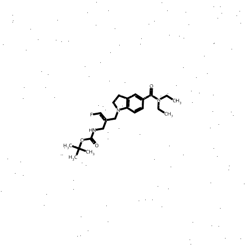 CCN(CC)C(=O)c1ccc2c(c1)CCN2CC(=CF)CNC(=O)OC(C)(C)C